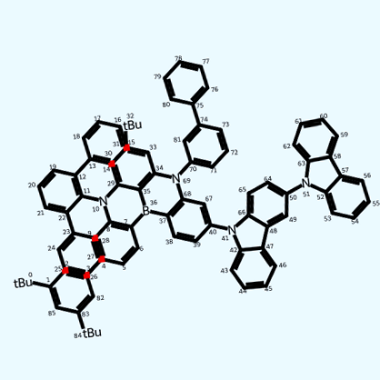 CC(C)(C)c1cc(-c2ccc3c(c2)N(c2c(-c4ccccc4)cccc2-c2ccccc2)c2cc(C(C)(C)C)cc4c2B3c2ccc(-n3c5ccccc5c5cc(-n6c7ccccc7c7ccccc76)ccc53)cc2N4c2cccc(-c3ccccc3)c2)cc(C(C)(C)C)c1